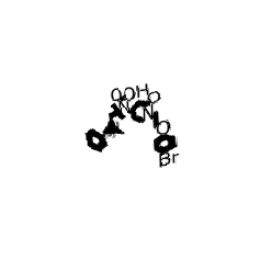 CC(C)(C[C@H]1C[C@@H]1c1ccccc1)N(C(=O)O)C1CCN(CCOc2ccc(Br)cc2)C(=O)C1